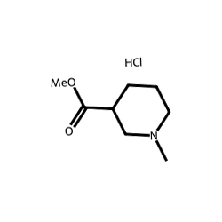 COC(=O)C1CCCN(C)C1.Cl